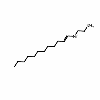 CCCCCCCCCCC=CNCCN